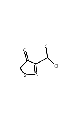 O=C1CSN=C1C(Cl)Cl